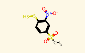 CS(=O)(=O)c1ccc(SS)c([N+](=O)[O-])c1